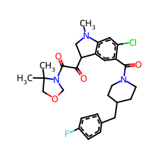 CN1CC(C(=O)C(=O)N2COCC2(C)C)c2cc(C(=O)N3CCC(Cc4ccc(F)cc4)CC3)c(Cl)cc21